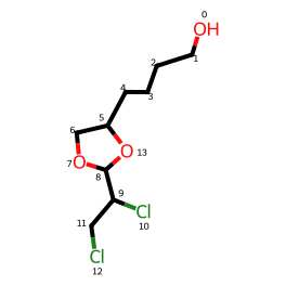 OCCCCC1COC(C(Cl)CCl)O1